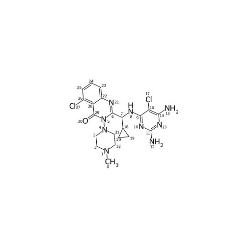 CN1CCN(n2c(C(Nc3nc(N)nc(N)c3Cl)C3CC3)nc3cccc(Cl)c3c2=O)CC1